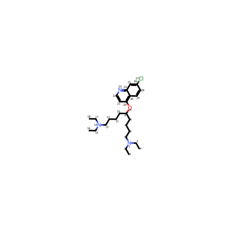 CCN(CC)CCCCC(CCCCN(CC)CC)Oc1ccnc2cc(Cl)ccc12